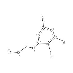 CCOCOc1cc(Br)cc(C)c1I